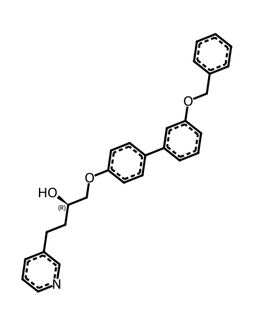 O[C@H](CCc1cccnc1)COc1ccc(-c2cccc(OCc3ccccc3)c2)cc1